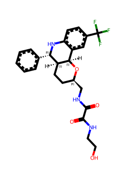 O=C(NCCO)C(=O)NC[C@H]1CC[C@@H]2[C@H](O1)c1cc(C(F)(F)F)ccc1N[C@H]2c1ccccc1